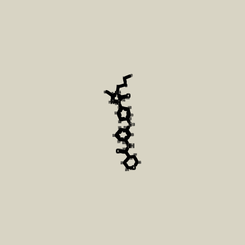 CCCCn1c(C)nn(-c2ccc(Sc3cccc(NC(=O)C4CCOCC4)c3)cc2)c1=O